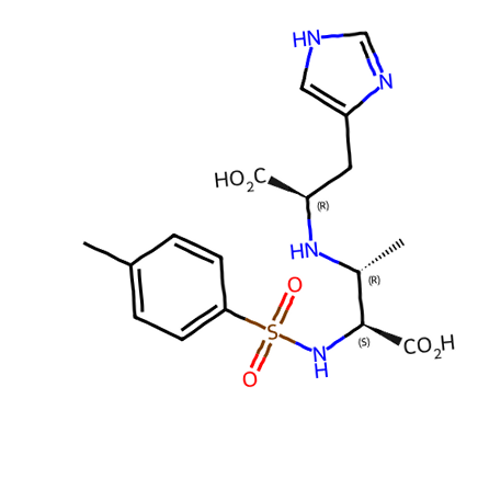 Cc1ccc(S(=O)(=O)N[C@H](C(=O)O)[C@@H](C)N[C@H](Cc2c[nH]cn2)C(=O)O)cc1